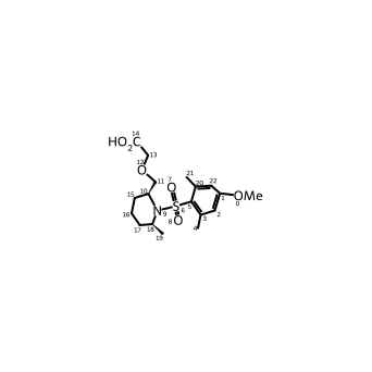 COc1cc(C)c(S(=O)(=O)N2[C@H](COCC(=O)O)CCC[C@@H]2C)c(C)c1